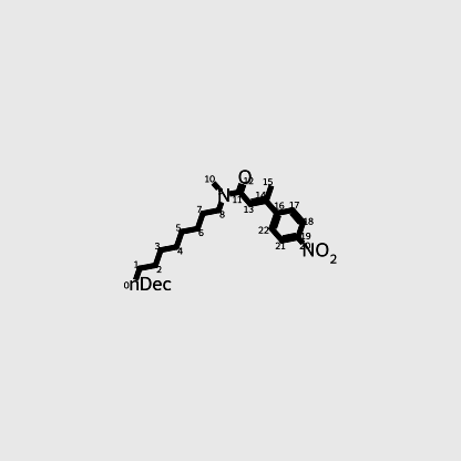 CCCCCCCCCCCCCCCCCCN(C)C(=O)C=C(C)c1ccc([N+](=O)[O-])cc1